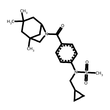 CC1(C)CC2CC(C)(CN2C(=O)c2ccc(N(CC3CC3)S(C)(=O)=O)cc2)C1